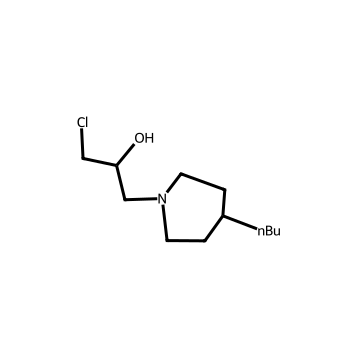 CCCCC1CCN(CC(O)CCl)CC1